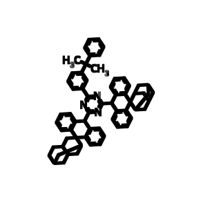 CC(C)(c1ccccc1)c1cccc(-c2nc(C3c4ccccc4C4(CC5CCC6CC5CC4C6)c4ccccc43)nc(C3c4ccccc4C4(c5ccccc53)C3CC5CC(C3)CC4C5)n2)c1